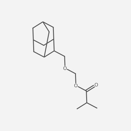 CC(C)C(=O)OCOCC1C2CC3CC(C2)CC1C3